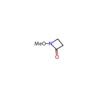 CON1CCC1=O